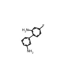 Nc1cccc(-c2ccc(F)cc2N)c1